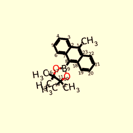 Cc1c2ccccc2c(B2OC(C)(C)C(C)(C)O2)c2ccccc12